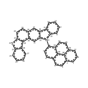 c1cc2ccc3ccc(-n4c5ccccc5c5cc6ccc7sc8ccccc8c7c6cc54)c4ccc(c1)c2c34